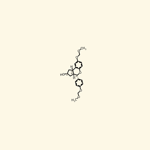 COCOc1ccc([C@H]2Oc3ccc(OCOC)cc3[C@H]3C[C@H](O)C[C@H]32)cc1